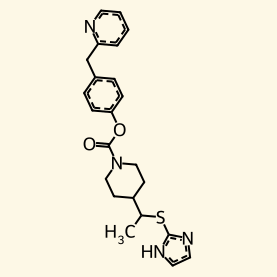 CC(Sc1ncc[nH]1)C1CCN(C(=O)Oc2ccc(Cc3ccccn3)cc2)CC1